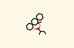 CCC(C)C(=O)OC1(C)CC2(CCCCC2)CCC12CCCCC2